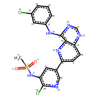 CS(=O)(=O)Nc1cc(-c2ccc3ncnc(Nc4cccc(Cl)c4)c3n2)cnc1Cl